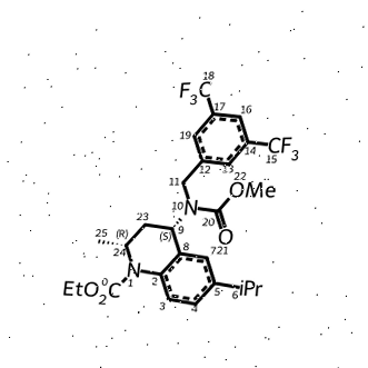 CCOC(=O)N1c2ccc(C(C)C)cc2[C@@H](N(Cc2cc(C(F)(F)F)cc(C(F)(F)F)c2)C(=O)OC)C[C@H]1C